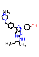 CCC[C@H](C)Nc1ncc2c(-c3ccc(CN4CCN(C)CC4)cc3)nn([C@H]3CC[C@H](O)CC3)c2n1